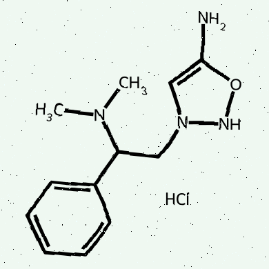 CN(C)C(CN1C=C(N)ON1)c1ccccc1.Cl